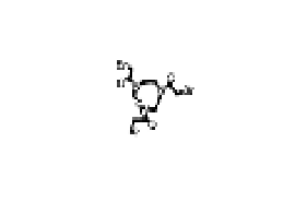 O=C(CBr)N1CCN(C(=O)CBr)CCN(C(=O)CBr)CC1